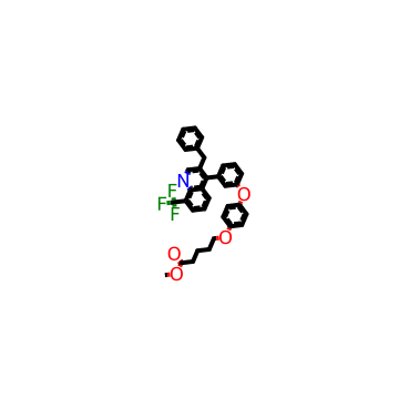 COC(=O)CCCCOc1ccc(Oc2cccc(-c3c(Cc4ccccc4)cnc4c(C(F)(F)F)cccc34)c2)cc1